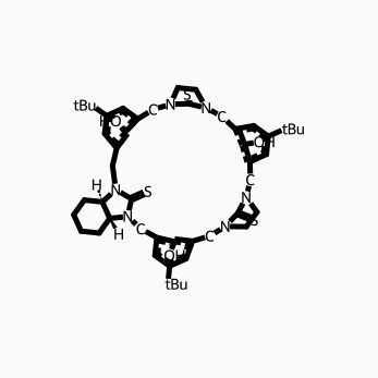 CC(C)(C)c1cc2c(O)c(c1)CN1CCN(Cc3cc(C(C)(C)C)cc(c3O)CN3C(=S)N(Cc4cc(C(C)(C)C)cc(c4O)CN4CCN(C2)C4=S)[C@@H]2CCCC[C@H]23)C1=S